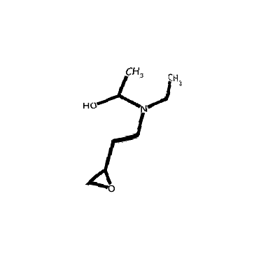 CCN(CCC1CO1)C(C)O